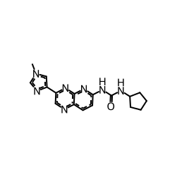 Cn1cnc(-c2cnc3ccc(NC(=O)NC4CCCC4)nc3n2)c1